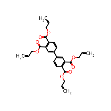 C=CCOC(=O)c1ccc(-c2ccc(C(=O)OCC=C)c(C(=O)OCC=C)c2)cc1C(=O)OCC=C